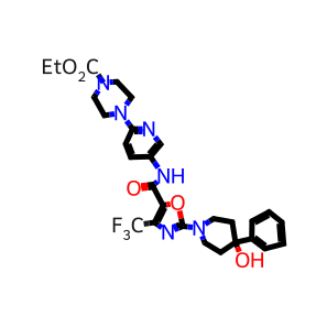 CCOC(=O)N1CCN(c2ccc(NC(=O)c3oc(N4CCC(O)(c5ccccc5)CC4)nc3C(F)(F)F)cn2)CC1